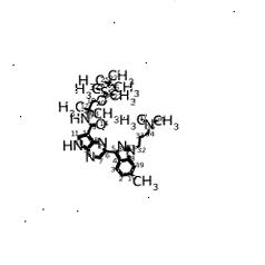 Cc1ccc2c(-c3cnc4[nH]cc(C(=O)NC(C)(C)CO[Si](C)(C)C(C)(C)C)c4n3)nn(CCCN(C)C)c2c1